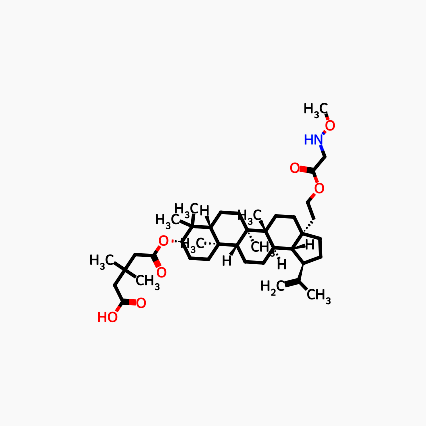 C=C(C)[C@@H]1CC[C@]2(CCOC(=O)CNOC)CC[C@]3(C)[C@H](CC[C@@H]4[C@@]5(C)CC[C@H](OC(=O)CC(C)(C)CC(=O)O)C(C)(C)[C@@H]5CC[C@]43C)[C@@H]12